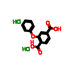 Cl.Cl.O=C(O)c1ccc(C(=O)O)c(Oc2ccccc2)c1